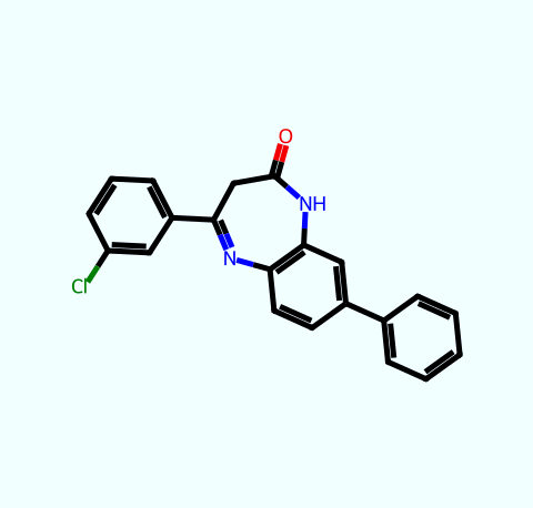 O=C1CC(c2cccc(Cl)c2)=Nc2ccc(-c3ccccc3)cc2N1